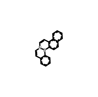 C1=CN2C=Cc3c(ccc4ccccc34)B2c2ccccc21